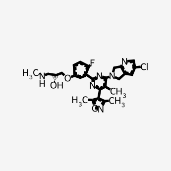 CNC[C@@H](O)COc1ccc(F)c(-c2nc(-c3c(C)noc3C)c(C)c(N3Cc4cc(Cl)cnc4C3)n2)c1